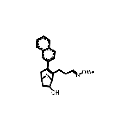 CON=CCCC1=C(c2ccc3ccccc3c2)CC2CC(O)C1S2